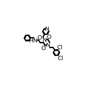 O=C(CC1C(=O)N(CCc2ccc(Cl)cc2Cl)CC(=O)N1Cc1ccncc1)NCc1ccccc1